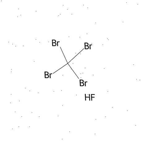 BrC(Br)(Br)Br.F